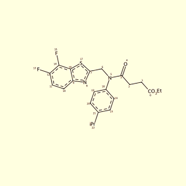 CCOC(=O)CCC(=O)N(Cc1nc2ccc(F)c(F)c2s1)c1ccc(C(C)C)cc1